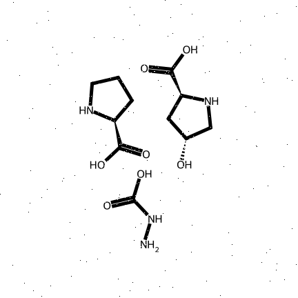 NNC(=O)O.O=C(O)[C@@H]1CCCN1.O=C(O)[C@@H]1C[C@@H](O)CN1